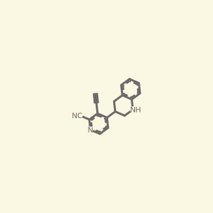 C#Cc1c(C2CNc3ccccc3C2)ccnc1C#N